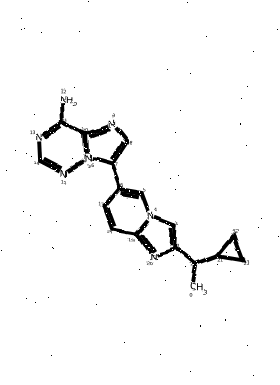 CC(c1cn2cc(-c3cnc4c(N)ncnn34)ccc2n1)C1CC1